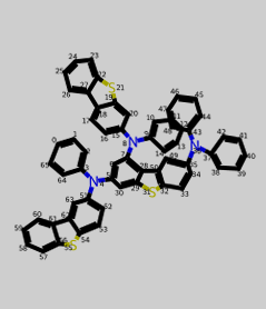 c1ccc(N(c2cc(N(c3ccccc3)c3ccc4c(c3)sc3ccccc34)c3c(c2)sc2ccc(N(c4ccccc4)c4ccccc4)cc23)c2ccc3sc4ccccc4c3c2)cc1